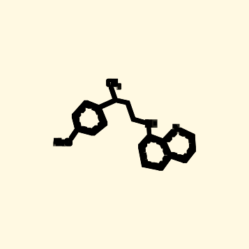 COc1ccc(C(C)CCNc2cccc3cccnc23)cc1